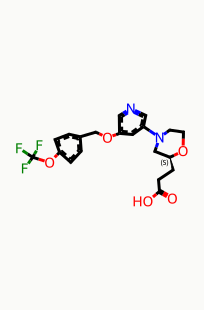 O=C(O)CC[C@H]1CN(c2cncc(OCc3ccc(OC(F)(F)F)cc3)c2)CCO1